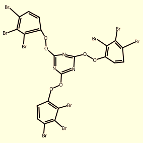 Brc1ccc(OOc2nc(OOc3ccc(Br)c(Br)c3Br)nc(OOc3ccc(Br)c(Br)c3Br)n2)c(Br)c1Br